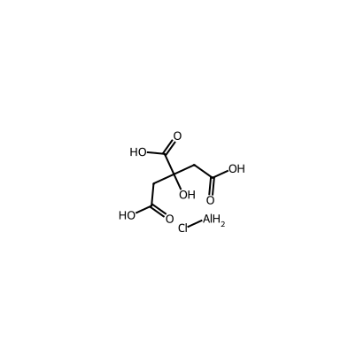 O=C(O)CC(O)(CC(=O)O)C(=O)O.[AlH2][Cl]